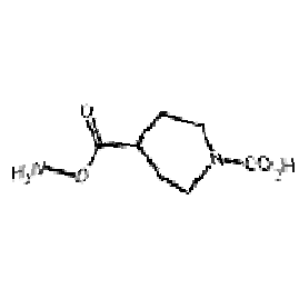 NOC(=O)C1CCN(C(=O)O)CC1